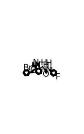 Cn1ncc(Br)c1C1(OCc2ccccc2)C=CC=C(NC(=O)Nc2ccc(F)cc2)C1